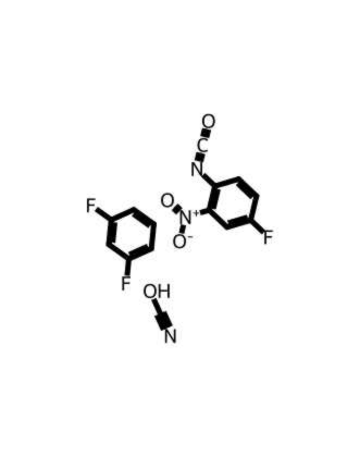 Fc1cccc(F)c1.N#CO.O=C=Nc1ccc(F)cc1[N+](=O)[O-]